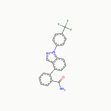 NC(=O)c1ccccc1-c1cccc2c1cnn2-c1ccc(C(F)(F)F)cc1